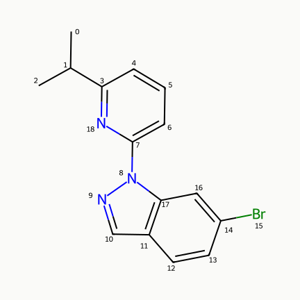 CC(C)c1cccc(-n2ncc3ccc(Br)cc32)n1